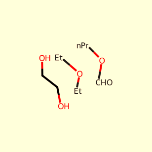 CCCOC=O.CCOCC.OCCO